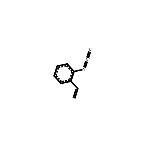 C=Cc1ccccc1N=[N+]=[N-]